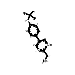 CC(F)(F)Oc1ccc(-c2cnc(CN)nc2)cc1